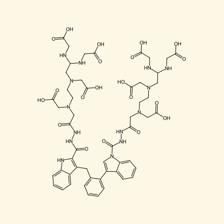 O=C(O)CNC(CN(CCN(CC(=O)O)CC(=O)NNC(=O)c1[nH]c2ccccc2c1Cc1ccccc1-c1cn(C(=O)NNC(=O)CN(CCN(CC(=O)O)CC(NCC(=O)O)NCC(=O)O)CC(=O)O)c2ccccc12)CC(=O)O)NCC(=O)O